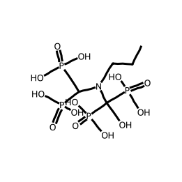 CCCN(C(P(=O)(O)O)P(=O)(O)O)C(O)(P(=O)(O)O)P(=O)(O)O